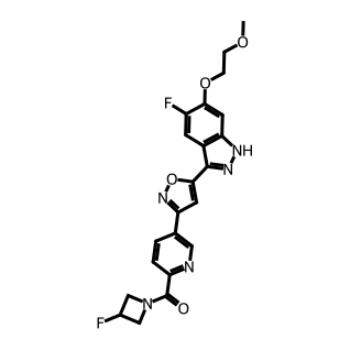 COCCOc1cc2[nH]nc(-c3cc(-c4ccc(C(=O)N5CC(F)C5)nc4)no3)c2cc1F